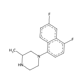 CC1CN(c2ccc(F)c3cc(F)ccc23)CCN1